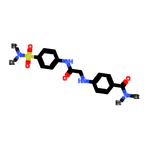 CCN(CC)C(=O)c1ccc(NCC(=O)Nc2ccc(S(=O)(=O)N(CC)CC)cc2)cc1